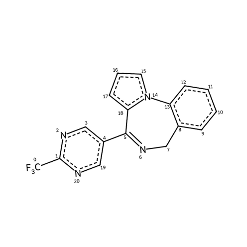 FC(F)(F)c1ncc(C2=NCc3ccccc3-n3cccc32)cn1